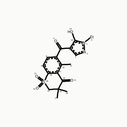 CCn1ncc(C(=O)c2ccc3c(c2C)C(=O)C(C)(C)CS3(=O)=O)c1O